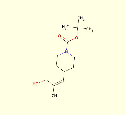 CC(=CC1CCN(C(=O)OC(C)(C)C)CC1)CO